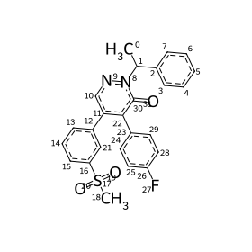 CC(c1ccccc1)n1ncc(-c2cccc(S(C)(=O)=O)c2)c(-c2ccc(F)cc2)c1=O